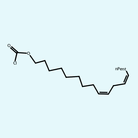 CCCCC/C=C\C/C=C\CCCCCCCCOC(=O)Cl